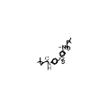 CC1(C)CC1C(=O)Nc1ccc([S+]([O-])c2ccc(NC(=O)C3CC3(C)C)cc2)cc1